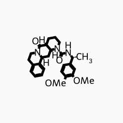 COc1ccc([C@@H](C)NC(=O)N2CCC[C@H]3C(=O)N4CCc5ccccc5[C@@H]4C[C@H]32)cc1OC